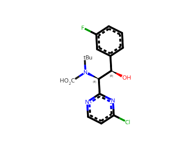 CC(C)(C)N(C(=O)O)[C@H](c1nccc(Cl)n1)[C@H](O)c1cccc(F)c1